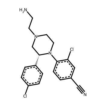 N#Cc1ccc(N2CCN(CCN)C[C@H]2c2ccc(Cl)cc2)c(Cl)c1